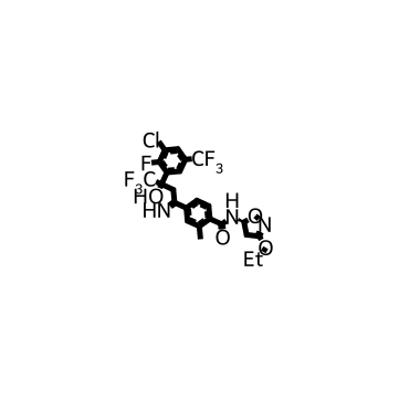 CCOC1=NO[C@H](NC(=O)c2ccc(C(=N)CC(O)(c3cc(C(F)(F)F)cc(Cl)c3F)C(F)(F)F)cc2C)C1